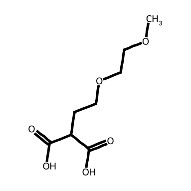 COCCOCCC(C(=O)O)C(=O)O